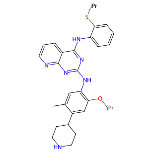 Cc1cc(Nc2nc(Nc3ccccc3SC(C)C)c3cccnc3n2)c(OC(C)C)cc1C1CCNCC1